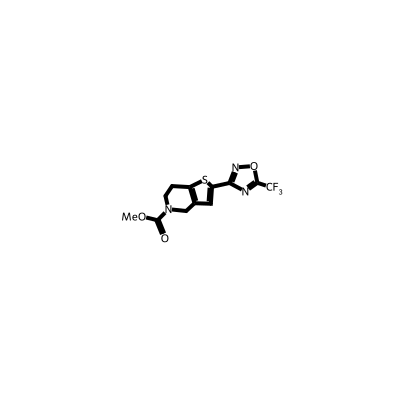 COC(=O)N1CCc2sc(-c3noc(C(F)(F)F)n3)cc2C1